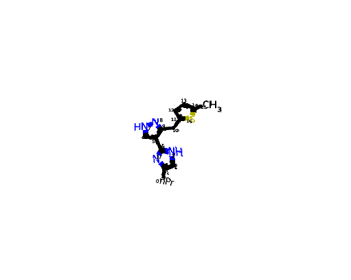 CCCc1c[nH]c(-c2c[nH]nc2Cc2ccc(C)s2)n1